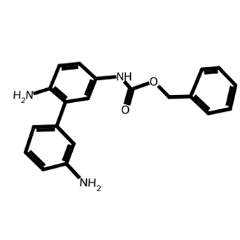 Nc1cccc(-c2cc(NC(=O)OCc3ccccc3)ccc2N)c1